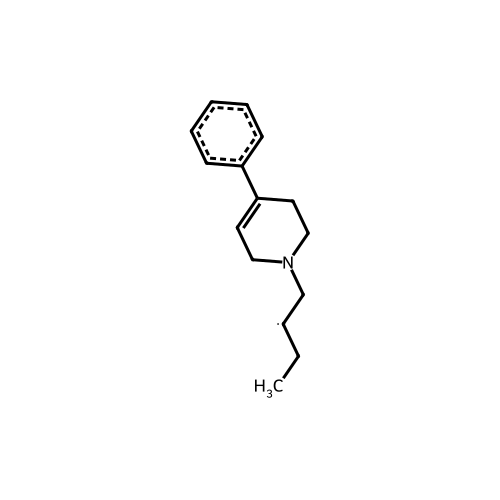 CC[CH]CN1CC=C(c2ccccc2)CC1